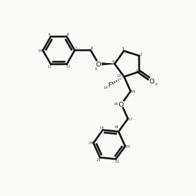 O=C1CC[C@H](OCc2ccccc2)[C@]1(F)COCc1ccccc1